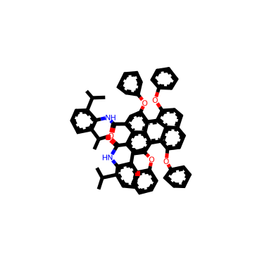 CC(C)c1cccc(C(C)C)c1NC(=O)c1cc(Oc2ccccc2)c2c3c(Oc4ccccc4)ccc4ccc(Oc5ccccc5)c(c5c(Oc6ccccc6)cc(C(=O)Nc6c(C(C)C)cccc6C(C)C)c1c25)c43